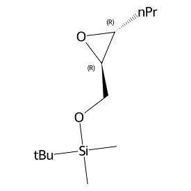 CCC[C@H]1O[C@@H]1CO[Si](C)(C)C(C)(C)C